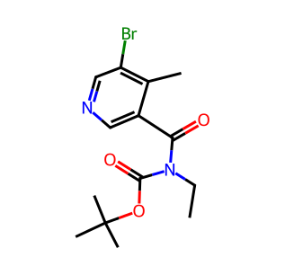 CCN(C(=O)OC(C)(C)C)C(=O)c1cncc(Br)c1C